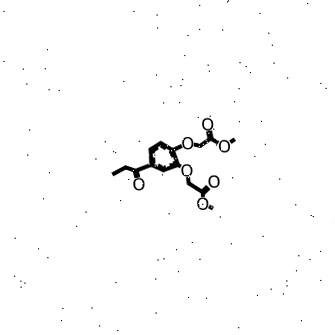 CCC(=O)c1ccc(OCC(=O)OC)c(OCC(=O)OC)c1